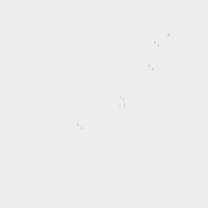 CCCCNC(=O)Nc1ccc(SCC)cc1C(=O)NCC1CCN(C(c2ccccc2)c2ccccc2)CC1